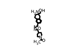 CC(=O)N1CCC(c2nnc(-c3ccc4c(c3)CCC(N)(CO)C4)o2)CC1